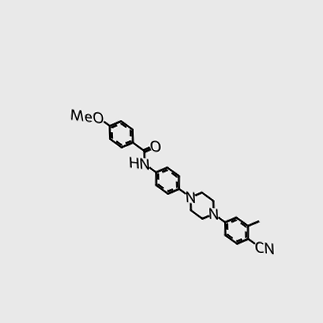 COc1ccc(C(=O)Nc2ccc(N3CCN(c4ccc(C#N)c(C)c4)CC3)cc2)cc1